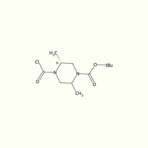 CC1CN(C(=O)Cl)[C@H](C)CN1C(=O)OC(C)(C)C